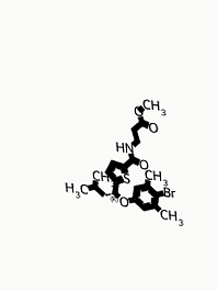 COC(=O)CCNC(=O)c1ccc([C@@H](CC(C)C)Oc2cc(C)c(Br)c(C)c2)s1